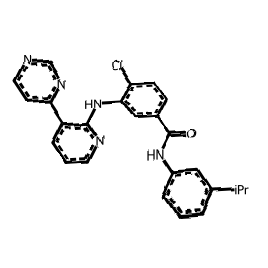 CC(C)c1cccc(NC(=O)c2ccc(Cl)c(Nc3ncccc3-c3ccncn3)c2)c1